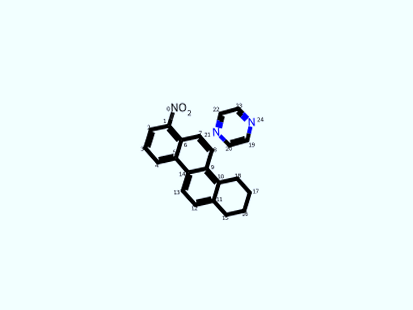 O=[N+]([O-])c1cccc2c1ccc1c3c(ccc12)CCCC3.c1cnccn1